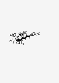 CCCCCCCCCCCCCCCC(C)(C)N.CCOS(=O)(=O)O